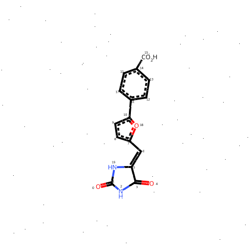 O=C1NC(=O)C(=Cc2ccc(-c3ccc(C(=O)O)cc3)o2)N1